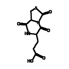 O=C(O)CCC1NC(=O)C2CSC(=O)N2C1=O